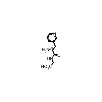 N[C@@H](Cc1cccnc1)C(=O)NCC(=O)O